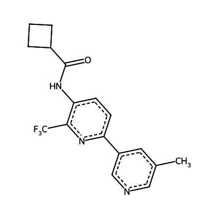 Cc1cncc(-c2ccc(NC(=O)C3CCC3)c(C(F)(F)F)n2)c1